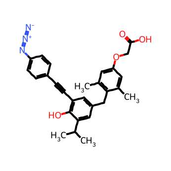 Cc1cc(OCC(=O)O)cc(C)c1Cc1cc(C#Cc2ccc(N=[N+]=[N-])cc2)c(O)c(C(C)C)c1